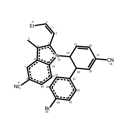 CC/C=C\c1c(C)c2cc(C#N)ccc2n1C1C=CC(C#N)=CC1c1ccc(Br)cc1